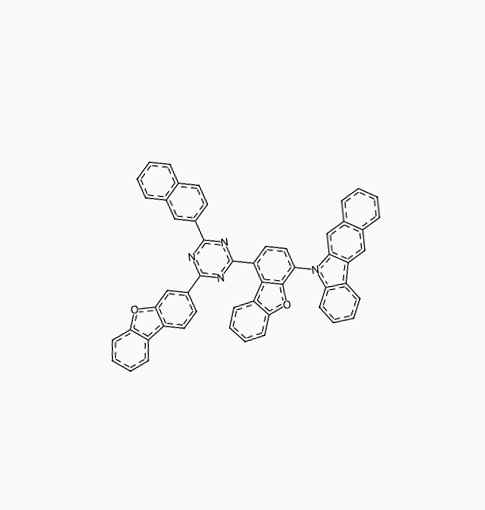 c1ccc2cc(-c3nc(-c4ccc5c(c4)oc4ccccc45)nc(-c4ccc(-n5c6ccccc6c6cc7ccccc7cc65)c5oc6ccccc6c45)n3)ccc2c1